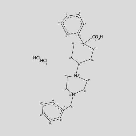 Cl.Cl.O=C(O)C1(c2ccccc2)CCC(N2CCN(Cc3ccccc3)CC2)CC1